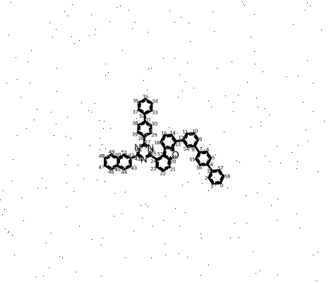 c1ccc(-c2ccc(-c3cccc(-c4cccc5c4oc4cccc(-c6nc(-c7ccc(-c8ccccc8)cc7)nc(-c7ccc8ccccc8c7)n6)c45)c3)cc2)cc1